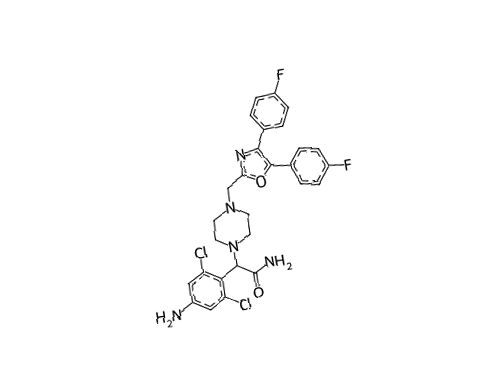 NC(=O)C(c1c(Cl)cc(N)cc1Cl)N1CCN(Cc2nc(-c3ccc(F)cc3)c(-c3ccc(F)cc3)o2)CC1